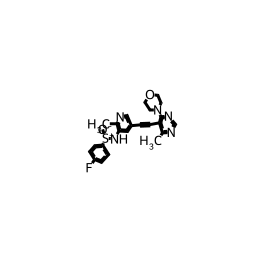 Cc1ncc(C#Cc2c(C)ncnc2N2CCOCC2)cc1N[S+]([O-])c1ccc(F)cc1